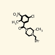 C[C](C)CN1CCN(C(=O)c2cc(Cl)cc([N+](=O)[O-])c2C)C[C@@H]1C